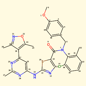 COc1ccc(CN(C(=O)c2cnc(Nc3cc(-c4c(C)noc4C)nc(C)n3)s2)c2c(C)cccc2Cl)cc1